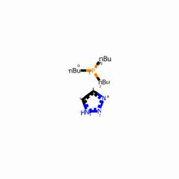 CCCCP(CCCC)CCCC.c1c[nH]nn1